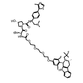 Cc1ncsc1-c1ccc([C@@H](CN(C)C)NC(=O)[C@@H]2C[C@@H](O)CN2C(=O)[C@@H](NC(=O)COCCOCCOCCOc2cc(F)c([C@@H]3c4[nH]c5ccccc5c4C[C@@H](C)N3CC(C)(C)F)c(F)c2)C(C)(C)C)cc1